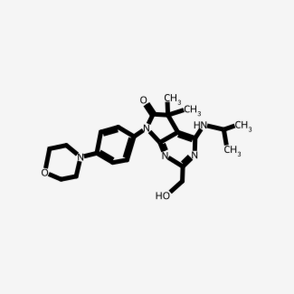 CC(C)Nc1nc(CO)nc2c1C(C)(C)C(=O)N2c1ccc(N2CCOCC2)cc1